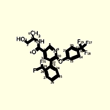 C[C@H](CO)NC(=O)c1cnc(Oc2ccc(C(F)(F)F)cc2)c(-c2ccccc2C(F)F)c1